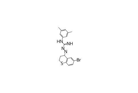 Cc1cc(C)cc(NC(=N)N=NC2CCSc3ccc(Br)cc32)c1